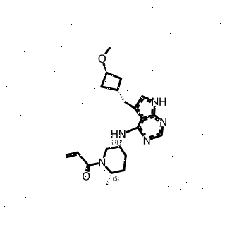 C=CC(=O)N1C[C@H](Nc2ncnc3[nH]cc(C[C@H]4C[C@H](OC)C4)c23)CC[C@@H]1C